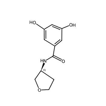 O=C(N[C@H]1CCOC1)c1cc(O)cc(O)c1